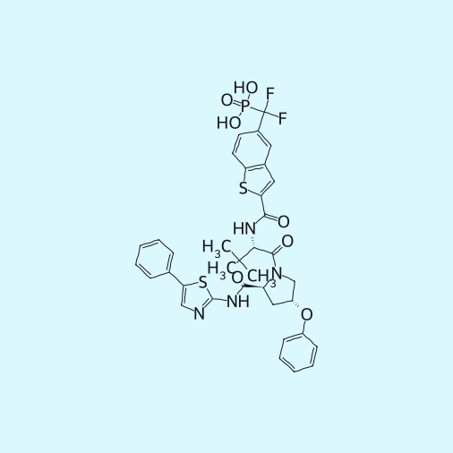 CC(C)(C)[C@H](NC(=O)c1cc2cc(C(F)(F)P(=O)(O)O)ccc2s1)C(=O)N1C[C@H](Oc2ccccc2)C[C@H]1C(=O)Nc1ncc(-c2ccccc2)s1